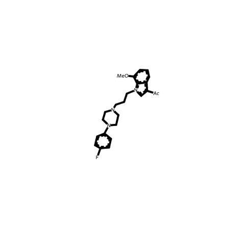 COc1cccc2c(C(C)=O)cn(CCCN3CCN(c4ccc(F)cc4)CC3)c12